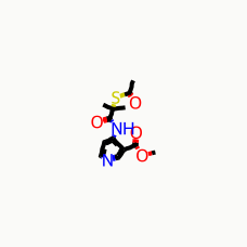 COC(=O)c1cnccc1NC(=O)C(C)(C)SC(C)=O